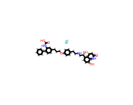 F.F.O=C(O)Nc1cc(CCCOc2ccc(CCNC[C@H](O)c3ccc(O)c4[nH]c(=O)ccc34)cc2)ccc1-c1ccccc1